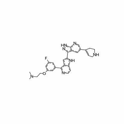 CN(C)CCOc1cc(F)cc(-c2nccc3[nH]c(-c4n[nH]c5ncc(C6=CCNCC6)cc45)cc23)c1